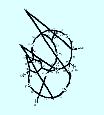 C1SC[C@H]2CC3CSCC4C[C@H]5CSC[C@@H]6CC1CC(CSC[C@]17CC(CSC[C@H](C3)C2)C[C@H](CSC[C@@H](C4)C5)C1C7)C6